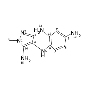 Cn1ncc(Nc2ccc(N)cc2N)c1N